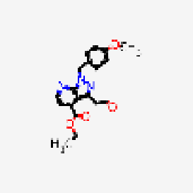 CCOC(=O)c1ccnc2c1c(CC=O)nn2Cc1ccc(OC)cc1